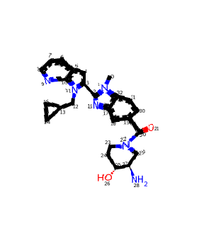 Cn1c(-c2cc3cccnc3n2CC2CC2)nc2cc(C(=O)N3CC[C@@H](O)[C@H](N)C3)ccc21